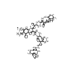 Nc1c(Cl)cc(C[C@@H](OC(=O)N2CCC(N3CCc4ccccc4NC3=O)CC2)C(=O)N2CCC(N3CCCC[C@H]3C(=O)OCCCN3CCOCC3)CC2)cc1C(F)(F)F